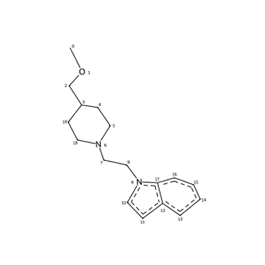 COCC1CCN(CCn2ccc3ccccc32)CC1